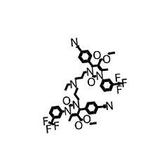 CCOC(=O)C1=C(C)N(c2cccc(C(F)(F)F)c2)C(=O)N(CCCN(CC)CCCN2C(=O)N(c3cccc(C(F)(F)F)c3)C(C)=C(C(=O)OCC)C2c2ccc(C#N)cc2)C1c1ccc(C#N)cc1